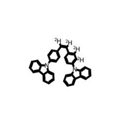 [2H]C(=C([2H])c1ccc(-n2c3ccccc3c3ccccc32)c([2H])c1[2H])c1ccc(-n2c3ccccc3c3ccccc32)cc1